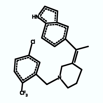 C/C(=C1\CCCN(Cc2cc(Cl)ccc2C(F)(F)F)C1)c1ccc2[nH]ccc2c1